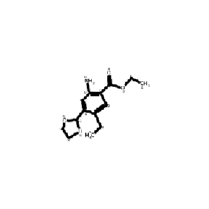 CCOC(=O)c1cc(CC)c(C2OCCO2)cc1N